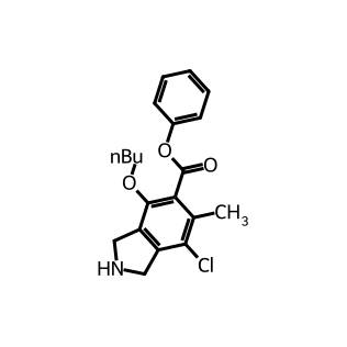 CCCCOc1c2c(c(Cl)c(C)c1C(=O)Oc1ccccc1)CNC2